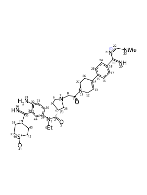 CCN(C(=O)[C@@H]1CCN(CC(=O)N2CC=C(c3ccc(C(=N)/N=C\NC)cc3)CC2)C1)c1ccc(N)c(C(=N)C2CC[S+]([O-])CC2)c1